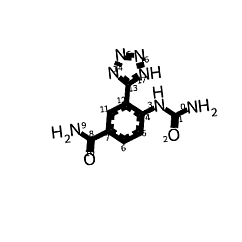 NC(=O)Nc1ccc(C(N)=O)cc1-c1nnn[nH]1